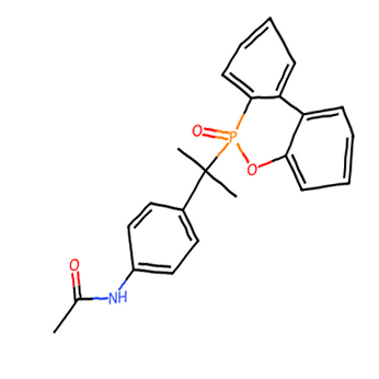 CC(=O)Nc1ccc(C(C)(C)P2(=O)Oc3ccccc3-c3ccccc32)cc1